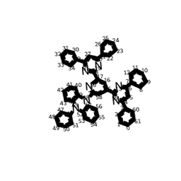 c1ccc(-c2cc(-c3ccccc3)nc(-c3cc(-c4nc(-c5ccccc5)cc(-c5ccccc5)n4)nc(N4c5ccccc5N(c5ccccc5)c5ccccc54)c3)n2)cc1